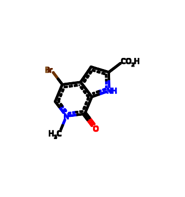 Cn1cc(Br)c2cc(C(=O)O)[nH]c2c1=O